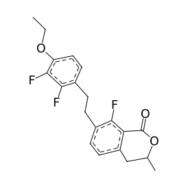 CCOc1ccc(CCc2ccc3c(c2F)C(=O)OC(C)C3)c(F)c1F